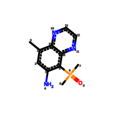 Cc1cc(N)c(P(C)(C)=O)c2nccnc12